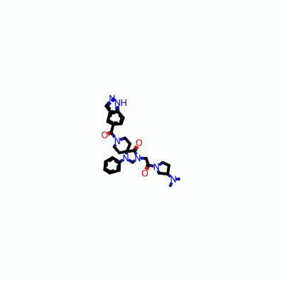 CN(C)C1CCN(C(=O)CN2CN(c3ccccc3)C3(CCN(C(=O)c4ccc5[nH]ncc5c4)CC3)C2=O)C1